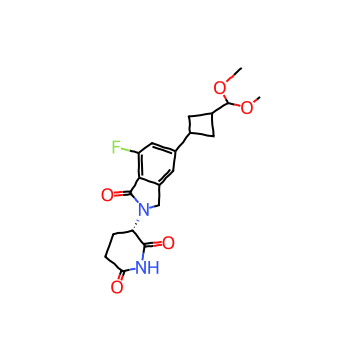 COC(OC)C1CC(c2cc(F)c3c(c2)CN([C@H]2CCC(=O)NC2=O)C3=O)C1